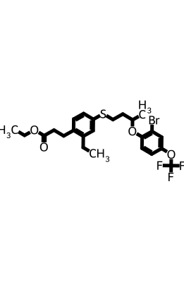 CCOC(=O)CCc1ccc(SCCC(C)Oc2ccc(OC(F)(F)F)cc2Br)cc1CC